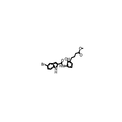 COC(=O)CCCc1cccc(NC(=O)c2cc3cc(Br)ccc3[nH]2)c1O